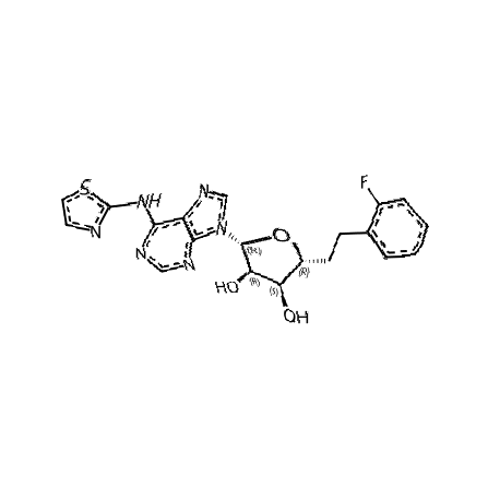 O[C@@H]1[C@H](O)[C@@H](CCc2ccccc2F)O[C@H]1n1cnc2c(Nc3nccs3)ncnc21